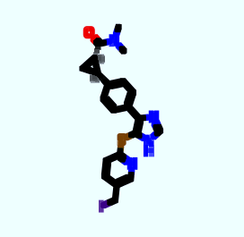 CN(C)C(=O)[C@H]1C[C@@H]1c1ccc(-c2nc[nH]c2Sc2ccc(CI)cn2)cc1